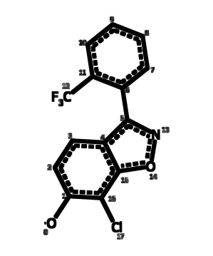 [O]c1ccc2c(-c3ccccc3C(F)(F)F)noc2c1Cl